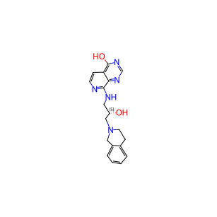 Oc1ncnc2c(NC[C@H](O)CN3CCc4ccccc4C3)nccc12